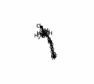 NC(=O)N[C@H]1[C@H]([C@H](O)[C@H](O)CNC(=O)Cc2ccc(Cl)cc2)O[C@@](OCCCCCCOCc2cn(CCOCCOCCOCCOCCC(=O)Oc3c(F)c(F)c(F)c(F)c3F)nn2)(C(=O)O)C[C@@H]1O